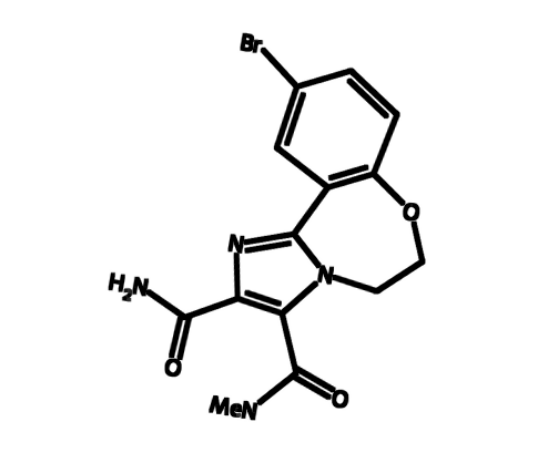 CNC(=O)c1c(C(N)=O)nc2n1CCOc1ccc(Br)cc1-2